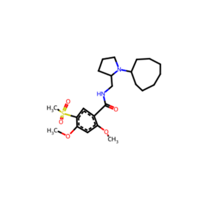 COc1cc(OC)c(S(C)(=O)=O)cc1C(=O)NCC1CCCN1C1CCCCCCC1